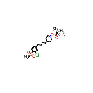 CC(C)(C)C(=O)ON1CCC(CCCCc2ccc(S(C)(=O)=O)c(Cl)c2)CC1